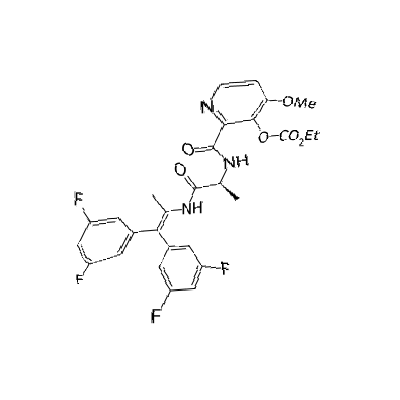 CCOC(=O)Oc1c(OC)ccnc1C(=O)N[C@@H](C)C(=O)NC(C)=C(c1cc(F)cc(F)c1)c1cc(F)cc(F)c1